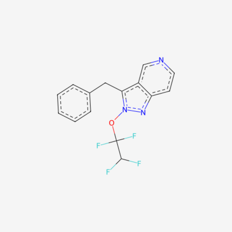 FC(F)C(F)(F)On1nc2ccncc2c1Cc1ccccc1